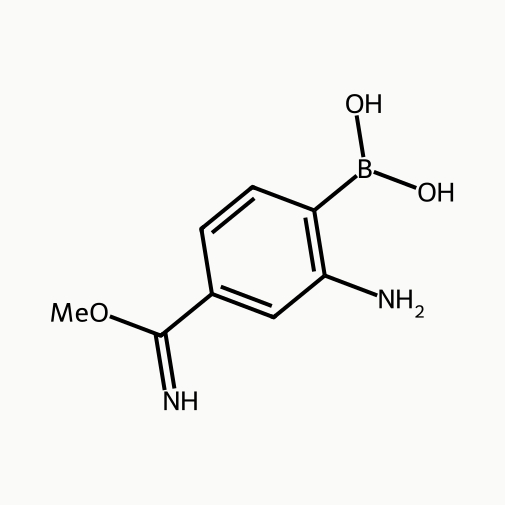 COC(=N)c1ccc(B(O)O)c(N)c1